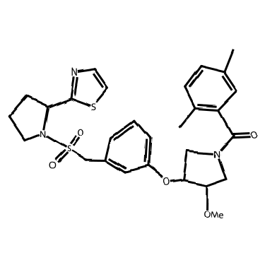 COC1CN(C(=O)c2cc(C)ccc2C)CC1Oc1cccc(CS(=O)(=O)N2CCCC2c2nccs2)c1